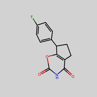 O=c1[nH]c(=O)c2c(o1)C(c1ccc(F)cc1)CC2